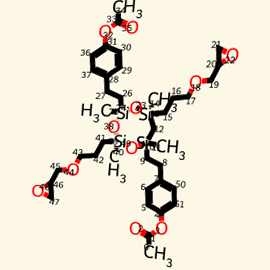 CC(=O)Oc1ccc(CC[Si]2(C)C[Si](C)(CCCOCC3CO3)O[Si](C)(CCc3ccc(OC(C)=O)cc3)O[Si](C)(CCCOCC3CO3)O2)cc1